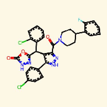 O=C(c1n[nH]c(-c2ccc(Cl)cc2)c1C(c1n[nH]c(=O)o1)c1ccccc1Cl)N1CCC(c2ccccc2F)CC1